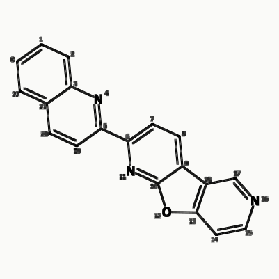 c1ccc2nc(-c3ccc4c(n3)oc3ccncc34)ccc2c1